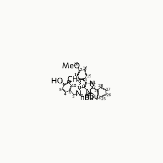 CCCCN(Cc1ccc(O)c(C)c1)Cc1c(-c2ccc(OC)cc2)nc(-c2ccccc2)n1CCCC